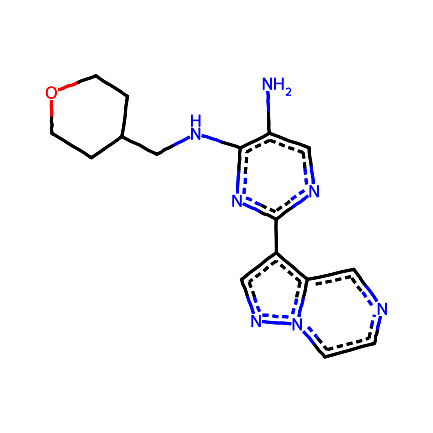 Nc1cnc(-c2cnn3ccncc23)nc1NCC1CCOCC1